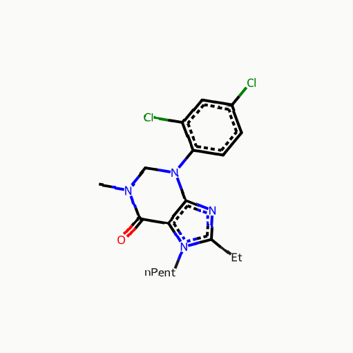 CCCCCn1c(CC)nc2c1C(=O)N(C)CN2c1ccc(Cl)cc1Cl